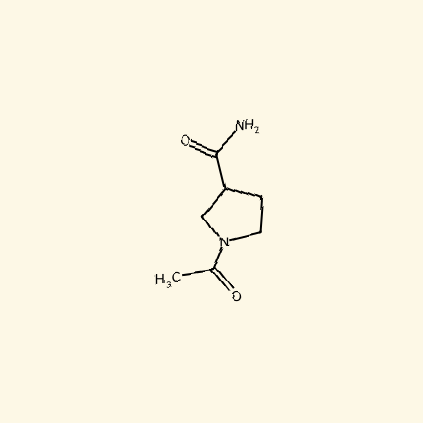 CC(=O)N1CCC(C(N)=O)C1